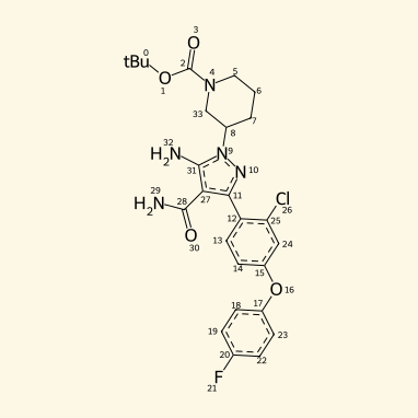 CC(C)(C)OC(=O)N1CCCC(n2nc(-c3ccc(Oc4ccc(F)cc4)cc3Cl)c(C(N)=O)c2N)C1